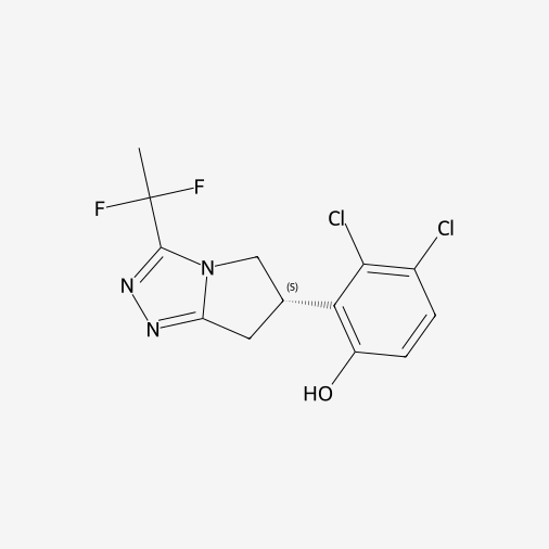 CC(F)(F)c1nnc2n1C[C@H](c1c(O)ccc(Cl)c1Cl)C2